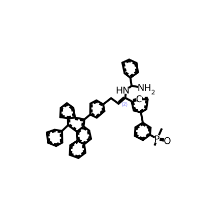 CP(C)(=O)c1cccc(-c2cccc(/C(=C/Cc3ccc(-c4c5ccccc5c(-c5ccccc5)c5c4ccc4ccccc45)cc3)NC(N)c3ccccc3)c2)c1